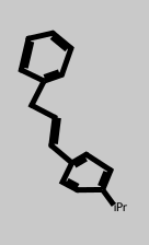 CC(C)c1ccc(C=CCc2ccccc2)cc1